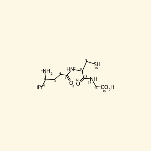 CC(C)C(N)CCC(=O)NC(CS)C(=O)NCC(=O)O